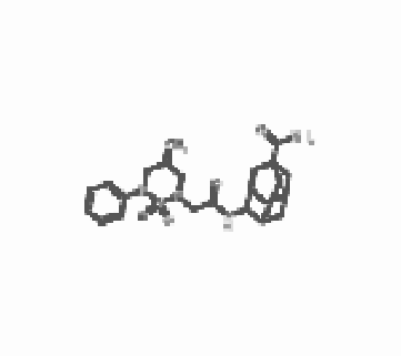 C=C1CN(CC(=O)NC2C3CC4CC2CC(C(N)=O)(C4)C3)S(=O)(=O)N(c2ccccc2)C1